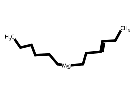 CCC=CC[CH2][Mg][CH2]CCCCC